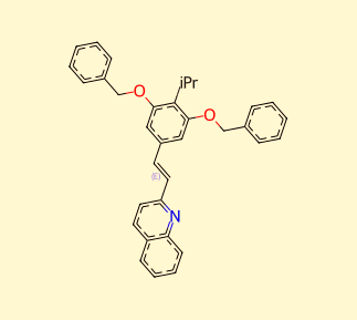 CC(C)c1c(OCc2ccccc2)cc(/C=C/c2ccc3ccccc3n2)cc1OCc1ccccc1